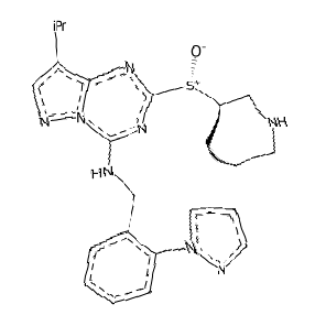 CC(C)c1cnn2c(NCc3ccccc3-n3cccn3)nc([S@+]([O-])[C@@H]3CCCNC3)nc12